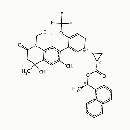 CCN1C(=O)CC(C)(C)c2cc(C)c(C3=C[C@@H](C4C[C@@H]4C(=O)O[C@H](C)c4cccc5ccccc45)CC=C3OC(F)(F)F)cc21